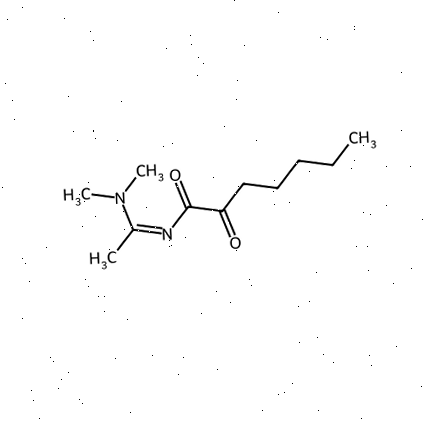 CCCCCC(=O)C(=O)N=C(C)N(C)C